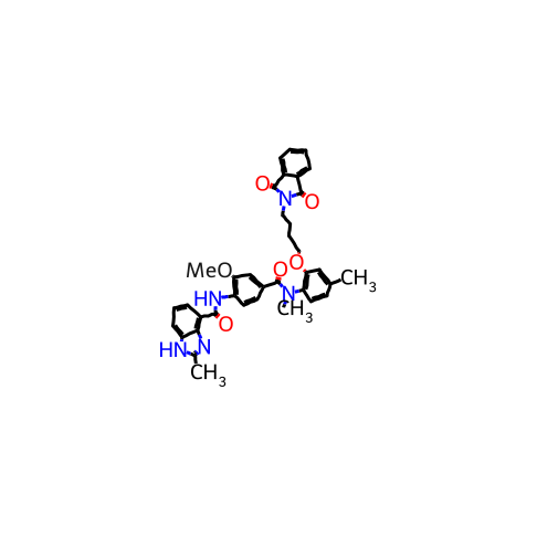 COc1cc(C(=O)N(C)c2ccc(C)cc2OCCCCN2C(=O)c3ccccc3C2=O)ccc1NC(=O)c1cccc2[nH]c(C)nc12